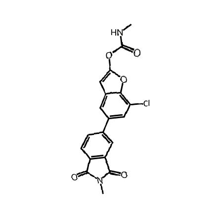 CNC(=O)Oc1cc2cc(-c3ccc4c(c3)C(=O)N(C)C4=O)cc(Cl)c2o1